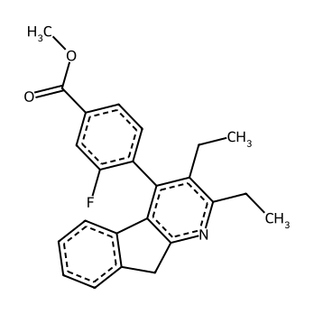 CCc1nc2c(c(-c3ccc(C(=O)OC)cc3F)c1CC)-c1ccccc1C2